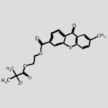 CCC(C)(C)C(=O)OCCOC(=O)c1ccc2c(=O)c3cc(C)ccc3sc2c1